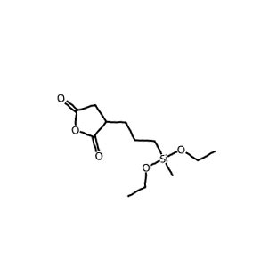 CCO[Si](C)(CCCC1CC(=O)OC1=O)OCC